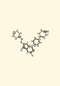 Cc1cc2c(cc(CCN3CCOCC3)n2C)c(-c2ccc(C3=CCNCC3)cc2)n1